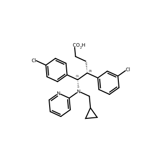 O=C(O)CC[C@H](c1cccc(Cl)c1)[C@@H](c1ccc(Cl)cc1)N(CC1CC1)c1ccccn1